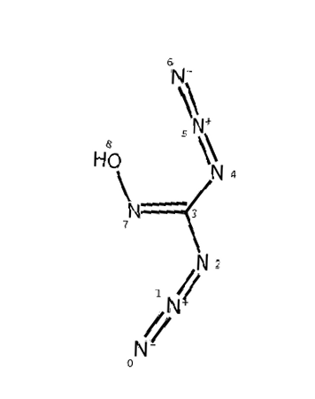 [N-]=[N+]=NC(N=[N+]=[N-])=NO